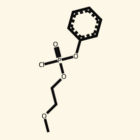 COCCOP(=O)(Cl)Oc1ccccc1